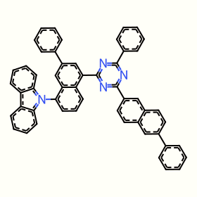 c1ccc(-c2ccc3cc(-c4nc(-c5ccccc5)nc(-c5cc(-c6ccccc6)cc6c(-n7c8ccccc8c8ccccc87)cccc56)n4)ccc3c2)cc1